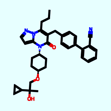 CCCc1c(Cc2ccc(-c3ccccc3C#N)cc2)c(=O)n([C@H]2CC[C@H](OCC(C)(O)C3CC3)CC2)c2ccnn12